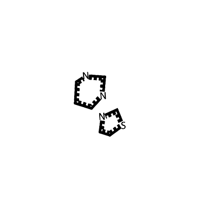 c1cncnc1.c1cscn1